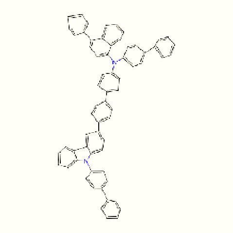 c1ccc(-c2ccc(N(c3ccc(-c4ccc(-c5ccc6c(c5)c5ccccc5n6-c5ccc(-c6ccccc6)cc5)cc4)cc3)c3ccc(-c4ccccc4)c4ccccc34)cc2)cc1